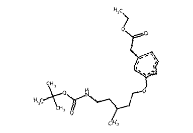 CCOC(=O)Cc1cccc(OCCC(C)CCNC(=O)OC(C)(C)C)c1